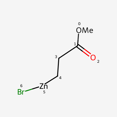 COC(=O)C[CH2][Zn][Br]